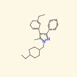 CCC1=CC(c2c(-c3ccccc3)nn(CC3CCC(CC)CC3)c2C)=CCC1